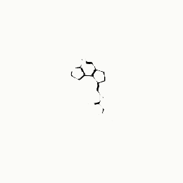 CCC(=O)N/C=C1\CCc2cnc3c(c21)CCO3